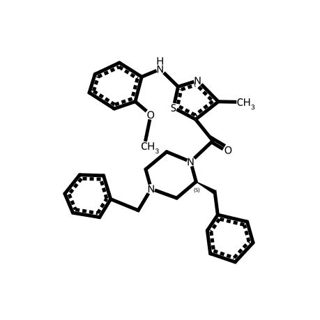 COc1ccccc1Nc1nc(C)c(C(=O)N2CCN(Cc3ccccc3)C[C@@H]2Cc2ccccc2)s1